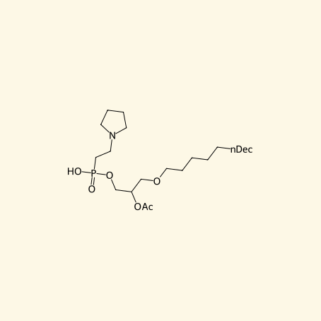 CCCCCCCCCCCCCCCOCC(COP(=O)(O)CCN1CCCC1)OC(C)=O